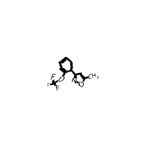 Cc1cc(-c2ccccc2OC(F)(F)F)no1